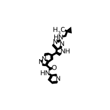 CC1(CNc2ncc3c(-c4ccn5ncc(C(=O)Nc6cccnc6)c5c4)c[nH]c3n2)CC1